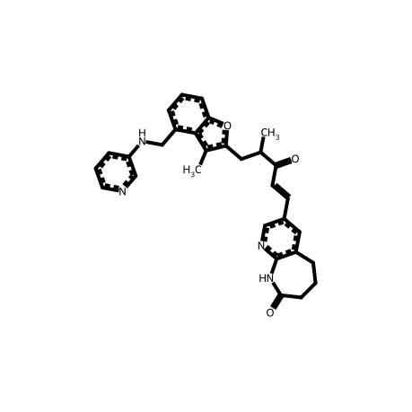 Cc1c(CC(C)C(=O)/C=C/c2cnc3c(c2)CCCC(=O)N3)oc2cccc(CNc3cccnc3)c12